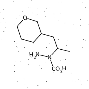 CC(CC1CCCOC1)N(N)C(=O)O